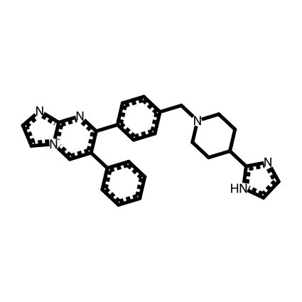 c1ccc(-c2cn3ccnc3nc2-c2ccc(CN3CCC(c4ncc[nH]4)CC3)cc2)cc1